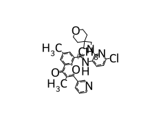 Cc1cc([C@@H](C)Nc2ccc(Cl)nc2N2CC3(CCOCC3)C2)c2oc(-c3cccnc3)c(C)c(=O)c2c1